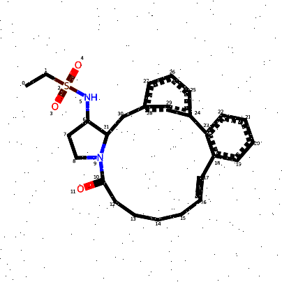 CCS(=O)(=O)NC1CCN2C(=O)CCCC/C=C/c3ccccc3-c3cccc(c3)CC12